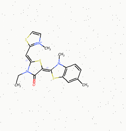 CCn1c(=O)/c(=C2\Sc3cc(C)ccc3N2C)s/c1=C\c1scc[n+]1C